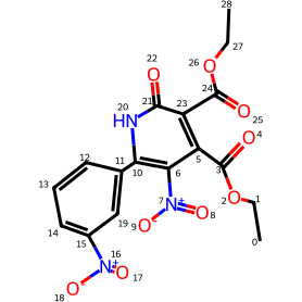 CCOC(=O)c1c([N+](=O)[O-])c(-c2cccc([N+](=O)[O-])c2)[nH]c(=O)c1C(=O)OCC